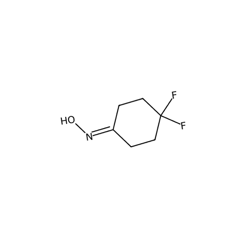 ON=C1CCC(F)(F)CC1